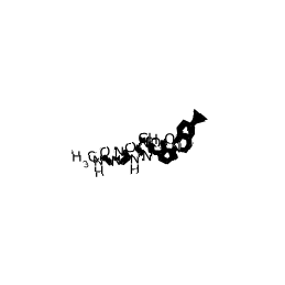 CNC(=O)Cn1cc(Nc2nc(-c3cccc(N4CCc5cc(C6CC6)ccc5C4=O)c3CO)cn(C)c2=O)cn1